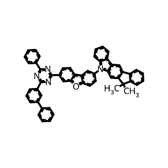 CC1(C)c2ccccc2-c2cc3c4ccccc4n(-c4ccc5oc6cc(-c7nc(-c8ccccc8)nc(-c8cccc(-c9ccccc9)c8)n7)ccc6c5c4)c3cc21